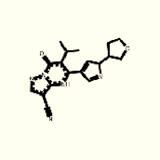 CC(C)c1c(C2=CC(C3CCOC3)N=C2)[nH]c2c(C#N)cnn2c1=O